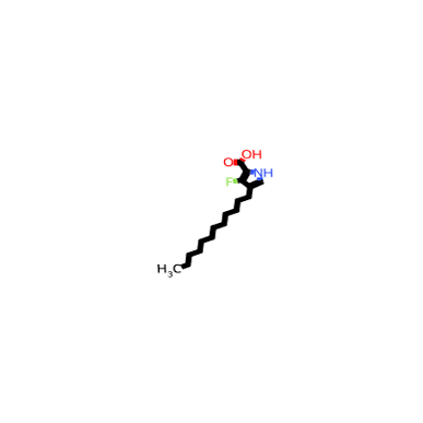 CCCCCCCCCCCCc1c[nH]c(C(=O)O)c1F